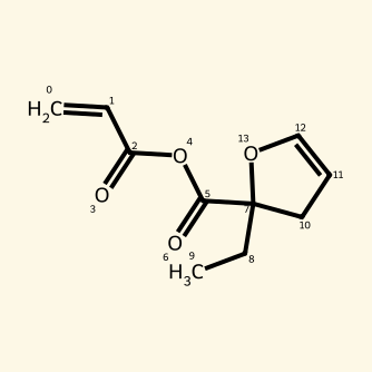 C=CC(=O)OC(=O)C1(CC)CC=CO1